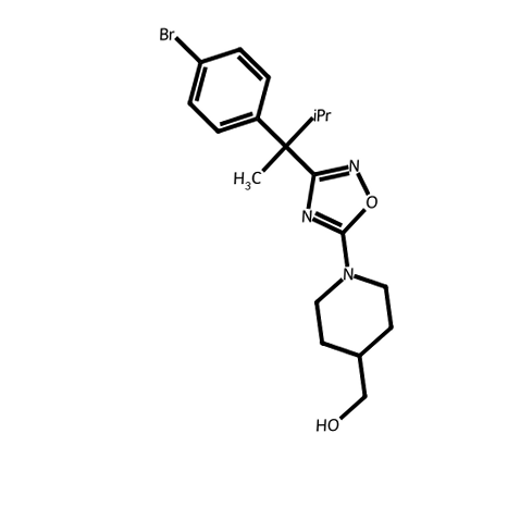 CC(C)C(C)(c1ccc(Br)cc1)c1noc(N2CCC(CO)CC2)n1